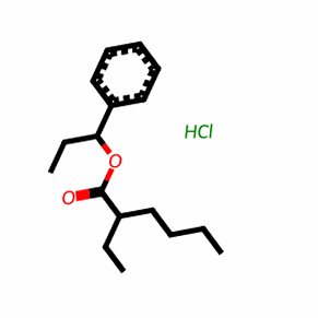 CCCCC(CC)C(=O)OC(CC)c1ccccc1.Cl